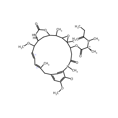 CCC(=O)N(C)[C@@H](C)C(=O)OC1CC(=O)N(C)c2cc(cc(OC)c2Cl)C/C(C)=C/C=C/C(OC)C2(O)CC(OC(=O)N2)C(C)C2OC12C